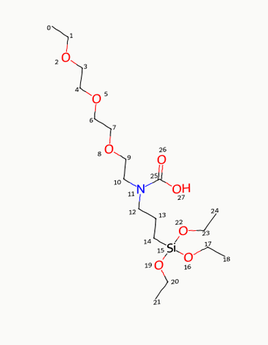 CCOCCOCCOCCN(CCC[Si](OCC)(OCC)OCC)C(=O)O